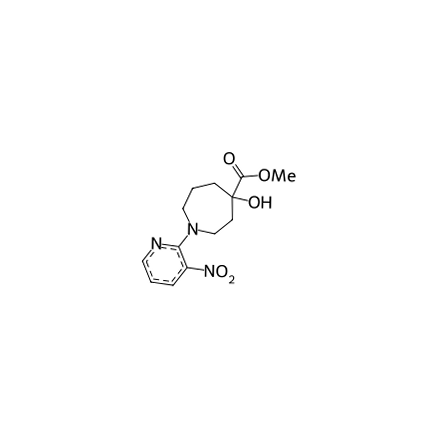 COC(=O)C1(O)CCCN(c2ncccc2[N+](=O)[O-])CC1